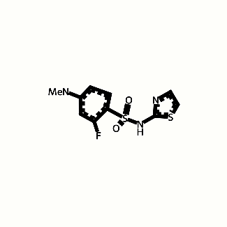 CNc1ccc(S(=O)(=O)Nc2nccs2)c(F)c1